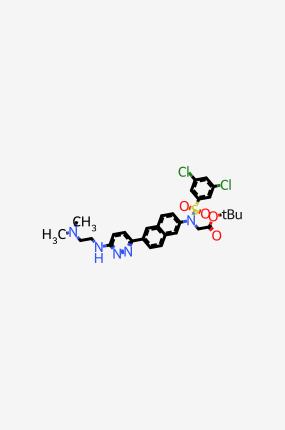 CN(C)CCNc1ccc(-c2ccc3cc(N(CC(=O)OC(C)(C)C)S(=O)(=O)c4cc(Cl)cc(Cl)c4)ccc3c2)nn1